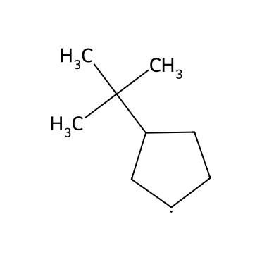 CC(C)(C)C1C[CH]CC1